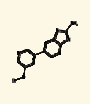 CCOc1cncc(-c2ccc3nc(N)sc3c2)c1